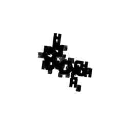 CC(C)(O)C1CCC(n2cnc3cnc4[nH]ccc4c32)CC1